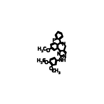 COc1ccc2c(c1)-c1nc(Nc3ccc(OC)c(OC)c3)ncc1CN=C2c1ccccc1F